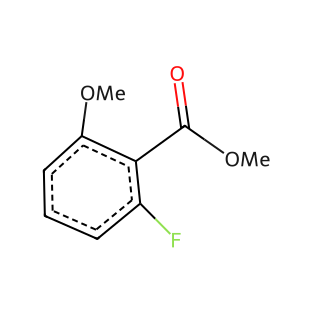 COC(=O)c1c(F)cccc1OC